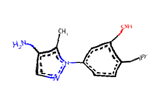 Cc1c(N)cnn1-c1ccc(C(C)C)c(O)c1